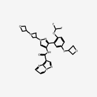 O=C(Nc1cn(C2CN(C3COC3)C2)nc1-c1cc(SC2COC2)ccc1OC(F)F)c1cnn2cccnc12